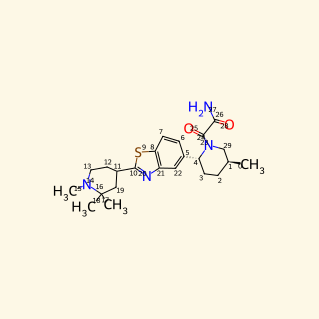 C[C@H]1CC[C@H](c2ccc3sc(C4CCN(C)C(C)(C)C4)nc3c2)N(C(=O)C(N)=O)C1